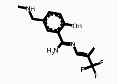 CNCc1ccc(O)c(/C(N)=N/C=C(\C)C(F)(F)F)c1